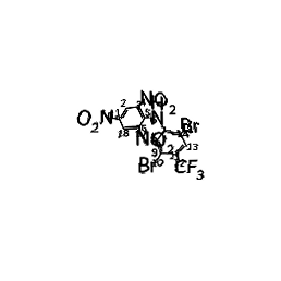 O=[N+]([O-])c1cc([N+](=O)[O-])c(Nc2cc(Br)c(C(F)(F)F)cc2Br)c([N+](=O)[O-])c1